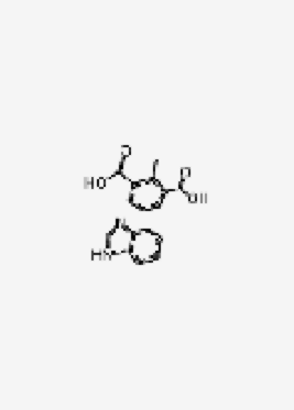 Cc1c(C(=O)O)cccc1C(=O)O.c1ccc2[nH]cnc2c1